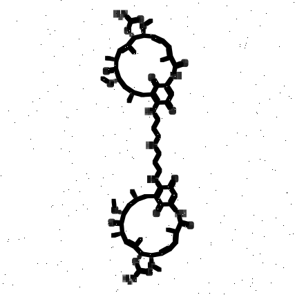 CO[C@H]1C[C@H](C)CC2=C(NCCCNCCCNC3=C4C[C@H](C)C[C@@H](OC)C(=O)[C@H](C)/C=C(\C)[C@@H](OC(N)=O)[C@H](OC)/C=C\C=C(/C)C(=O)NC(=CC3=O)C4=O)C(=O)C=C(NC(=O)/C(C)=C/C=C\[C@H](OC)[C@@H](OC(N)=O)/C(C)=C/[C@H](C)C1=O)C2=O